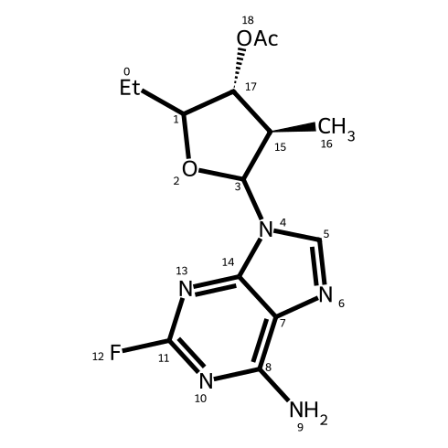 CCC1OC(n2cnc3c(N)nc(F)nc32)[C@H](C)[C@H]1OC(C)=O